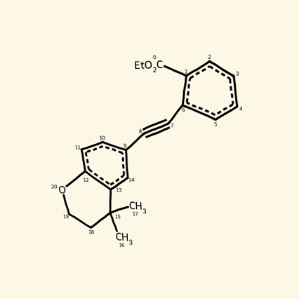 CCOC(=O)c1ccccc1C#Cc1ccc2c(c1)C(C)(C)CCO2